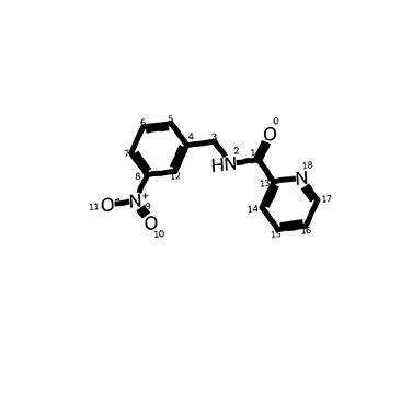 O=C(NCc1cccc([N+](=O)[O-])c1)c1ccccn1